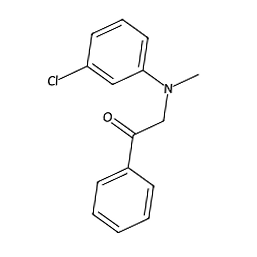 CN(CC(=O)c1ccccc1)c1cccc(Cl)c1